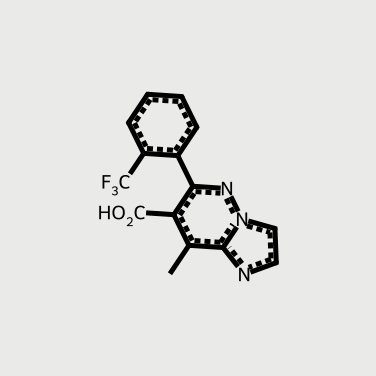 Cc1c(C(=O)O)c(-c2ccccc2C(F)(F)F)nn2ccnc12